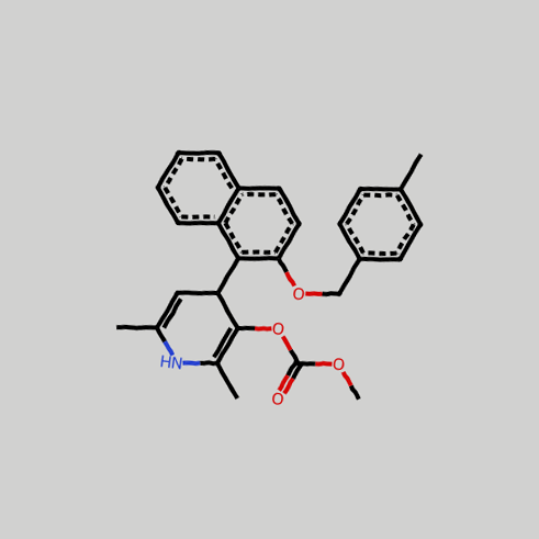 COC(=O)OC1=C(C)NC(C)=CC1c1c(OCc2ccc(C)cc2)ccc2ccccc12